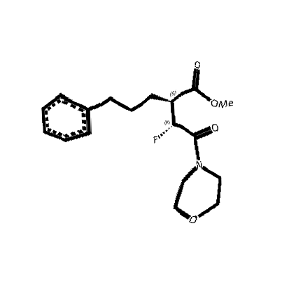 COC(=O)[C@H](CCCc1ccccc1)[C@@H](F)C(=O)N1CCOCC1